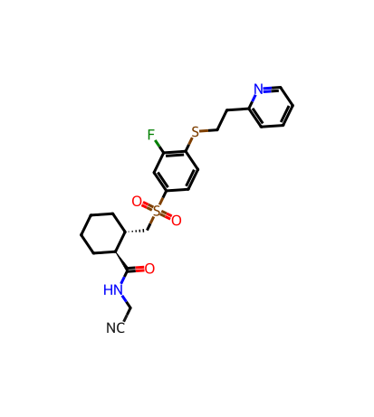 N#CCNC(=O)[C@H]1CCCC[C@@H]1CS(=O)(=O)c1ccc(SCCc2ccccn2)c(F)c1